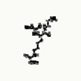 COC(=O)NCCCCC(NC(=O)OC)C(=O)NCCN